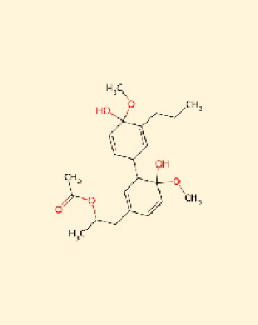 CCCC1=CC(C2C=C(CC(C)OC(C)=O)C=CC2(O)OC)C=CC1(O)OC